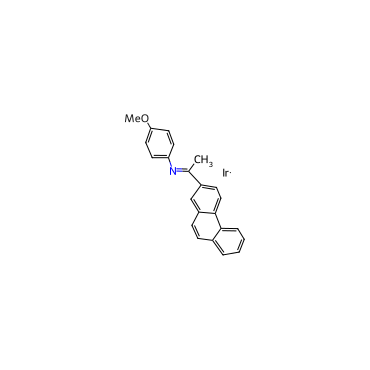 COc1ccc(N=C(C)c2ccc3c(ccc4ccccc43)c2)cc1.[Ir]